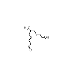 CC(CSCCO)CSCCN=O